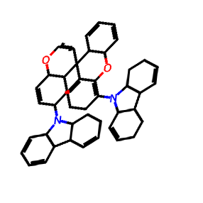 C1=CC2OC3=C(N4C5C=CCCC5C5C=CCCC54)CCC=C3C3(C2C=C1)C1C=CC=CC1OC1C=CC(N2C4C=CC=CC4C4C=CCCC42)CC13